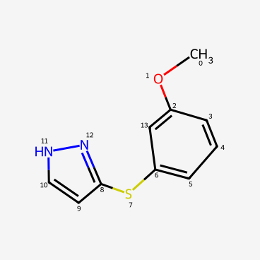 COc1cccc(Sc2cc[nH]n2)c1